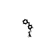 c1ccc(Cc2ccc(OCC3CO3)cc2)cc1